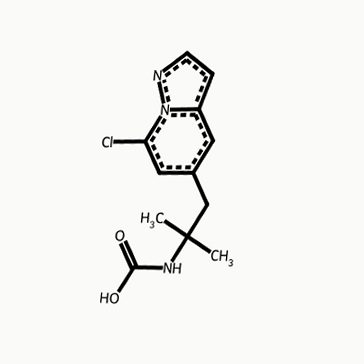 CC(C)(Cc1cc(Cl)n2nccc2c1)NC(=O)O